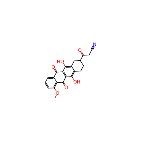 COc1cccc2c1C(=O)c1c(O)c3c(c(O)c1C2=O)CC(C(=O)CC#N)CC3